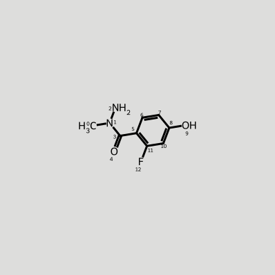 CN(N)C(=O)c1ccc(O)cc1F